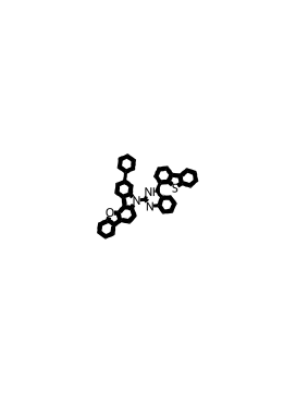 N/C(=N\c1ccccc1Cc1cccc2c1sc1ccccc12)n1c2cc(-c3ccccc3)ccc2c2c3oc4ccccc4c3ccc21